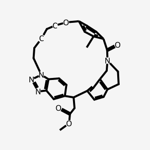 COC(=O)CC1c2ccc3c(c2)CN(CC3)C(=O)c2ccc(cc2C)OCCCCCn2nnc3cc1ccc32